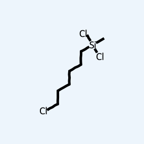 C[Si](Cl)(Cl)CCCCCCCl